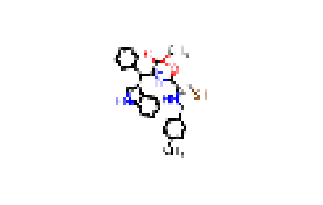 COC(=O)C(NC(=O)[C@H](CS)NCc1ccc(C)cc1)C(c1ccccc1)c1c[nH]c2ccccc12